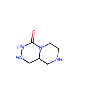 O=C1NNCC2CNCCN12